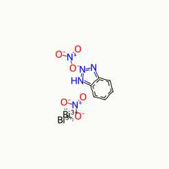 O=[N+]([O-])[O-].O=[N+]([O-])[O-].[Bi+3].[Bi+3].c1ccc2[nH]nnc2c1